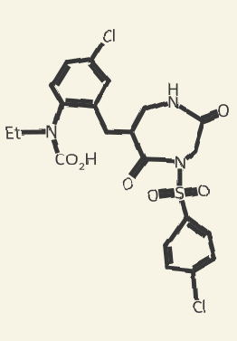 CCN(C(=O)O)c1ccc(Cl)cc1CC1CNC(=O)CN(S(=O)(=O)c2ccc(Cl)cc2)C1=O